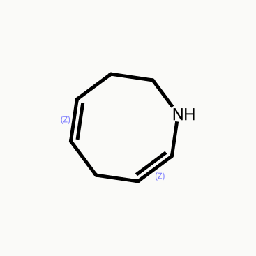 C1=C\CCN/C=C\C/1